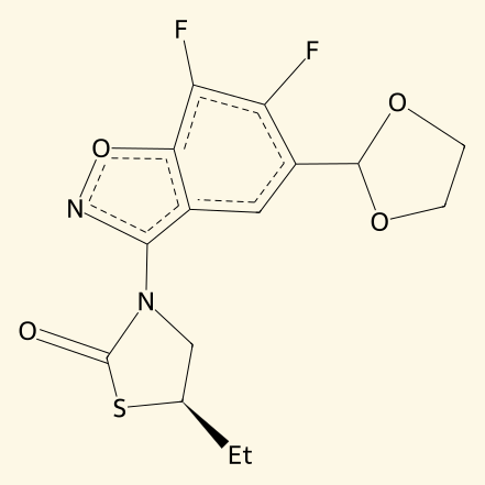 CC[C@@H]1CN(c2noc3c(F)c(F)c(C4OCCO4)cc23)C(=O)S1